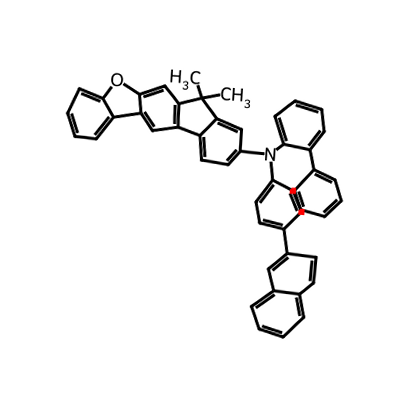 CC1(C)c2cc(N(c3ccc(-c4ccc5ccccc5c4)cc3)c3ccccc3-c3ccccc3)ccc2-c2cc3c(cc21)oc1ccccc13